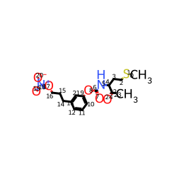 CSCCC(NC(=O)Oc1cccc(CCCO[N+](=O)[O-])c1)C(C)=O